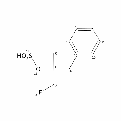 CC(CF)(Cc1ccccc1)OS(=O)(=O)O